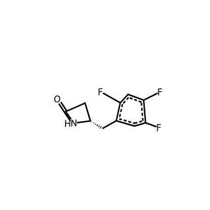 O=C1C[C@H](Cc2cc(F)c(F)cc2F)N1